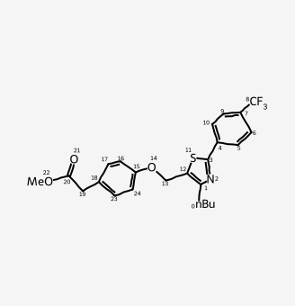 CCCCc1nc(-c2ccc(C(F)(F)F)cc2)sc1COc1ccc(CC(=O)OC)cc1